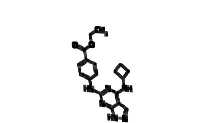 CCOC(=O)c1ccc(Nc2nc(NC3CCC3)c3cn[nH]c3n2)cc1